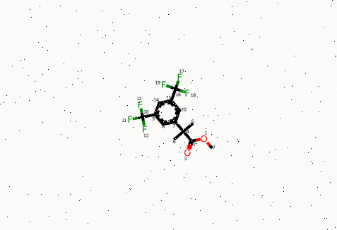 COC(=O)C(C)(C)c1cc(C(F)(F)F)cc(C(F)(F)F)c1